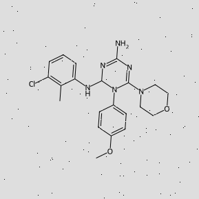 COc1ccc(N2C(N3CCOCC3)=NC(N)=NC2Nc2cccc(Cl)c2C)cc1